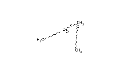 C=C(CCSCCC(=O)OCCCCCCCCCCCC)OCCCCCCCCCCCC